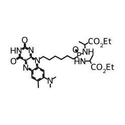 CCOC(=O)C(C)NP(=O)(CCCCCCn1c2nc(=O)[nH]c(=O)c-2nc2cc(C)c(N(C)C)cc21)NC(C)C(=O)OCC